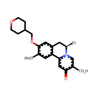 CC[C@@H]1Cc2cc(OCC3CCOCC3)c(OC)cc2-c2cc(=O)c(C(=O)O)cn21